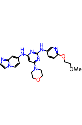 COCCOc1ccc(Nc2nc(Nc3ccn4ccnc4c3)cc(N3CCOCC3)n2)cn1